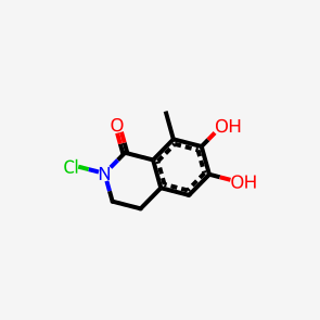 Cc1c(O)c(O)cc2c1C(=O)N(Cl)CC2